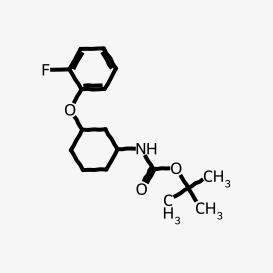 CC(C)(C)OC(=O)NC1CCCC(Oc2ccccc2F)C1